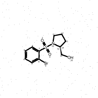 O=S(=O)(c1ccccc1Br)N1CCC[C@H]1CO